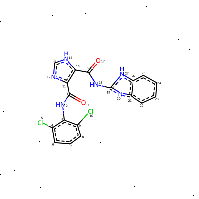 O=C(Nc1c(Cl)cccc1Cl)c1nc[nH]c1C(=O)Nc1nc2ccccc2[nH]1